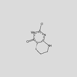 O=c1[nH]c(Cl)nc2c1CCCN2